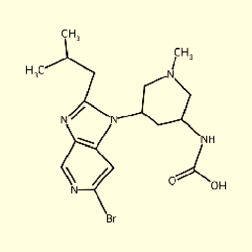 CC(C)Cc1nc2cnc(Br)cc2n1C1CC(NC(=O)O)CN(C)C1